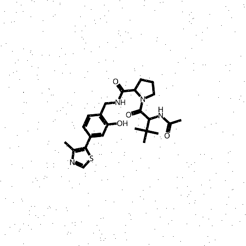 CC(=O)NC(C(=O)N1CCCC1C(=O)NCc1ccc(-c2scnc2C)cc1O)C(C)(C)C